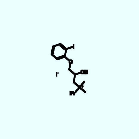 CC(C)[N+](C)(C)CC(O)COc1ccccc1I.[I-]